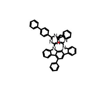 c1ccc(-c2ccc(-c3nc(-c4ccccc4)nc(-n4c5ccccc5c5c(-c6ccccc6)cc6c7ccccc7n(-c7ncccn7)c6c54)n3)cc2)cc1